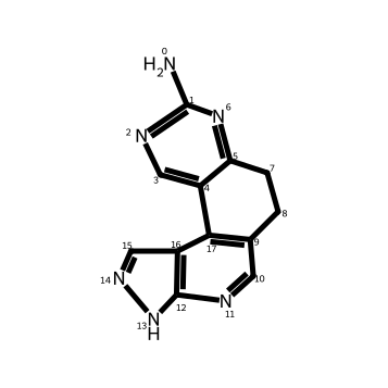 Nc1ncc2c(n1)CCc1cnc3[nH]ncc3c1-2